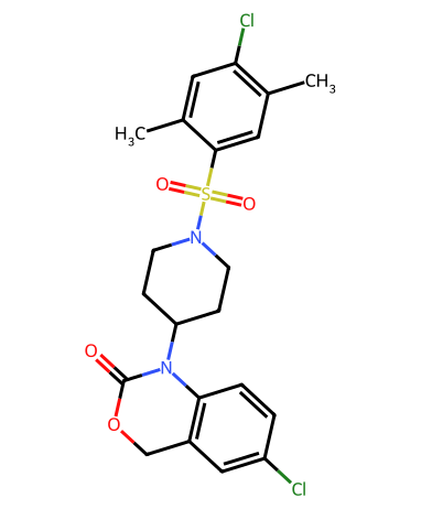 Cc1cc(S(=O)(=O)N2CCC(N3C(=O)OCc4cc(Cl)ccc43)CC2)c(C)cc1Cl